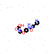 CC(C)(O)C(=O)N1CCC(Oc2ccc(NC(=O)N3CC(c4cccnc4)C3)cc2)C1